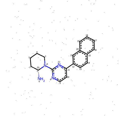 N[C@@H]1C[CH]CCN1c1nccc(-c2ccc3ccccc3c2)n1